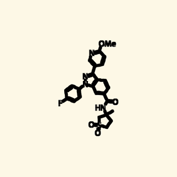 COc1ccc(-c2nn(-c3ccc(F)cc3)c3cc(C(=O)NC4(C)CCS(=O)(=O)C4)ccc23)cn1